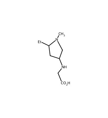 CCC1CC(NCC(=O)O)CN1C